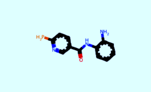 Nc1ccccc1NC(=O)c1ccc(P)nc1